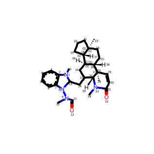 CN1c2ccccc2N(N(C)C=O)C1CC1C[C@H]2[C@@H]3CCC[C@@]3(C)CC[C@@H]2[C@@]2(C)C=CC(=O)N(C)[C@H]12